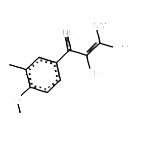 CN/C(OC)=C(/C=O)C(=N)c1ccc(OC(C)C)c(C)c1